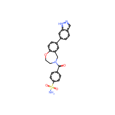 NS(=O)(=O)c1ccc(C(=O)N2CCOc3ccc(-c4ccc5cn[nH]c5c4)cc3C2)cc1